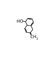 C=C1C=CC2C(=CC=CC2O)C1